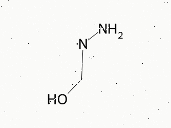 N[N]CO